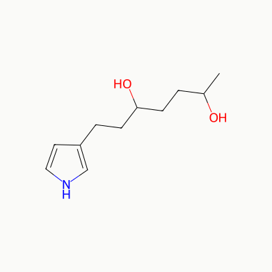 CC(O)CCC(O)CCc1cc[nH]c1